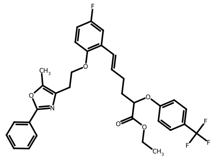 CCOC(=O)C(CCC=Cc1cc(F)ccc1OCCc1nc(-c2ccccc2)oc1C)Oc1ccc(C(F)(F)F)cc1